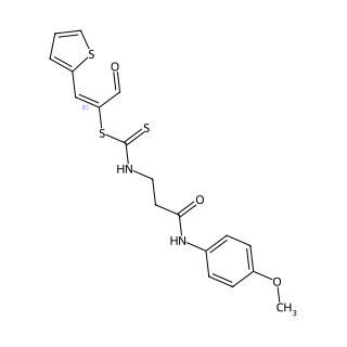 COc1ccc(NC(=O)CCNC(=S)S/C(C=O)=C/c2cccs2)cc1